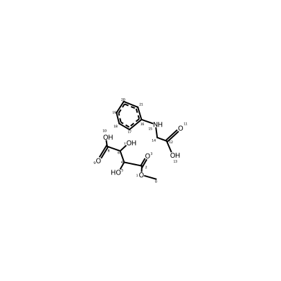 COC(=O)C(O)C(O)C(=O)O.O=C(O)CNc1ccccc1